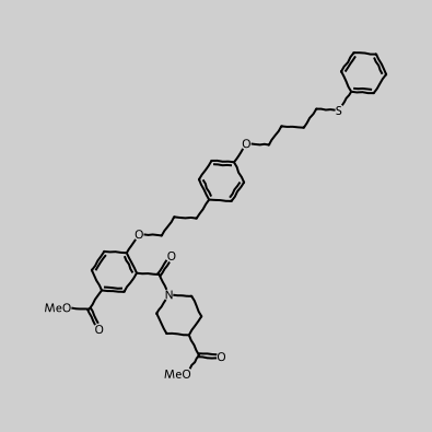 COC(=O)c1ccc(OCCCc2ccc(OCCCCSc3ccccc3)cc2)c(C(=O)N2CCC(C(=O)OC)CC2)c1